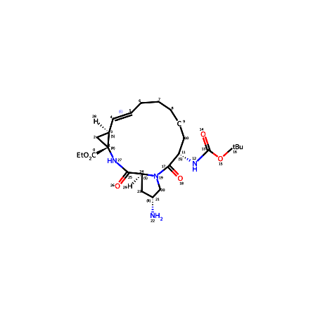 CCOC(=O)[C@@]12C[C@H]1/C=C/CCCCC[C@H](NC(=O)OC(C)(C)C)C(=O)N1C[C@H](N)C[C@H]1C(=O)N2